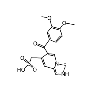 COc1ccc(C(=O)C2=CN3SNC=C3C=C2CS(=O)(=O)O)cc1OC